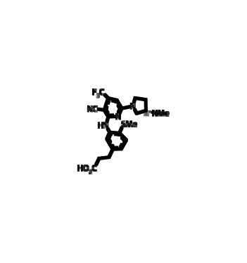 CN[C@H]1CCN(c2cc(C(F)(F)F)c(C#N)c(Nc3cc(CCC(=O)O)ccc3SC)n2)C1